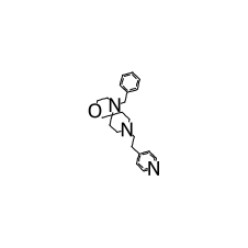 c1ccc(CN2CCOCC23CCN(CCc2ccncc2)CC3)cc1